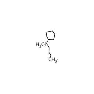 [CH2]CCCN(C)C1CCCCC1